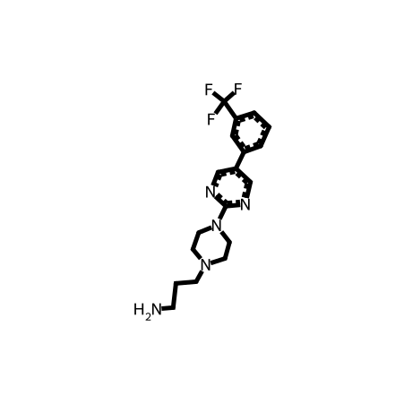 NCCCN1CCN(c2ncc(-c3cccc(C(F)(F)F)c3)cn2)CC1